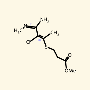 C/N=C(N)\C(Cl)=C(/C)SCCC(=O)OC